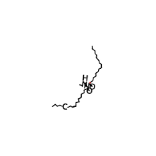 CCCCCCCC/C=C\CCCCCCCC(=O)N(NCC)C(=O)CCCCCCC/C=C\CCCCCCCC